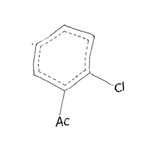 CC(=O)c1c[c]ccc1Cl